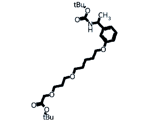 CC(NC(=O)OC(C)(C)C)c1cccc(OCCCCCOCCCOCC(=O)OC(C)(C)C)c1